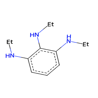 CCNc1cccc(NCC)c1NCC